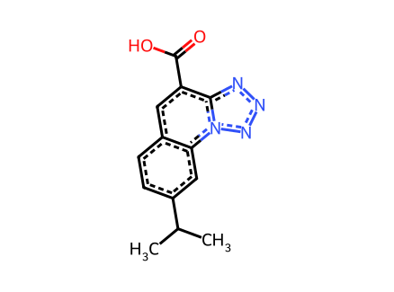 CC(C)c1ccc2cc(C(=O)O)c3nnnn3c2c1